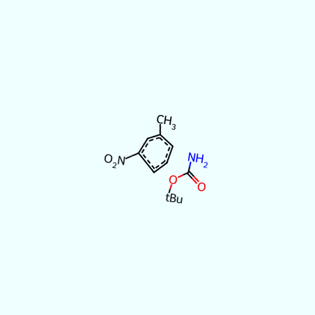 CC(C)(C)OC(N)=O.Cc1cccc([N+](=O)[O-])c1